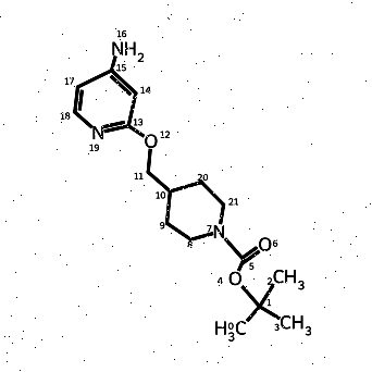 CC(C)(C)OC(=O)N1CCC(COc2cc(N)ccn2)CC1